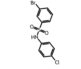 O=S(=O)(Nc1ccc(Cl)cc1)c1cccc(Br)c1